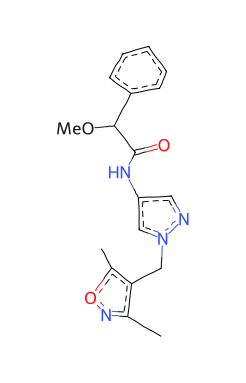 COC(C(=O)Nc1cnn(Cc2c(C)noc2C)c1)c1ccccc1